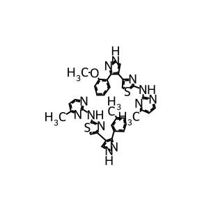 COc1ccccc1-c1n[nH]cc1-c1csc(Nc2nccc(C)n2)n1.Cc1cccc(-c2n[nH]cc2-c2csc(Nc3nccc(C)n3)n2)c1